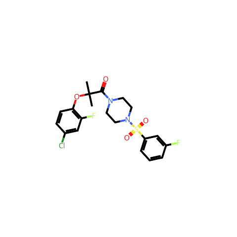 CC(C)(Oc1ccc(Cl)cc1F)C(=O)N1CCN(S(=O)(=O)c2cccc(F)c2)CC1